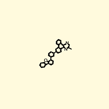 Cc1cnc2c3ccccc3c3cc(-c4cccc(-c5cccc6c5oc5ccccc56)c4)ccc3c2n1